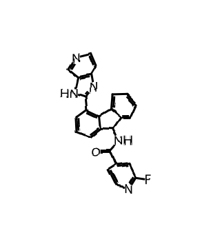 O=C(NC1c2ccccc2-c2c(-c3nc4ccncc4[nH]3)cccc21)c1ccnc(F)c1